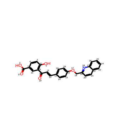 O=C(O)c1ccc(O)c(C(=O)C=Cc2ccc(OCc3ccc4ccccc4n3)cc2)c1